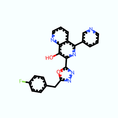 Oc1c(-c2nnc(Cc3ccc(F)cc3)o2)nc(-c2cccnc2)c2cccnc12